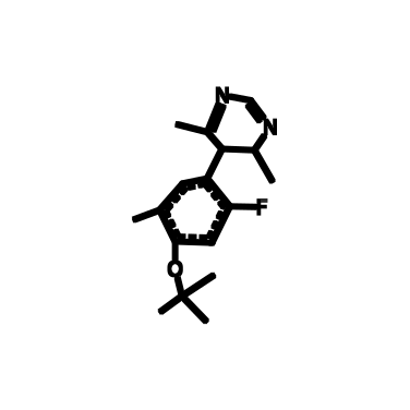 CC1=NC=NC(C)C1c1cc(C)c(OC(C)(C)C)cc1F